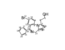 OCCc1nnc2n1-c1ccc(Br)cc1C(c1ccccc1)=NC2